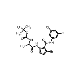 CC(NC(=O)OC(C)(C)C)C(=O)Nn1ccc(Br)c1C(=O)Nc1cc(Cl)cc(Cl)c1